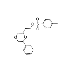 Cc1ccc(S(=O)(=O)OCCC2=COC=C(C3=CC=CCC3)O2)cc1